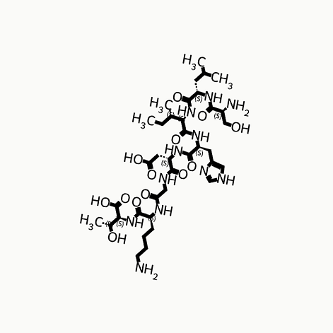 CC[C@H](C)[C@H](NC(=O)[C@H](CC(C)C)NC(=O)[C@@H](N)CO)C(=O)N[C@@H](Cc1c[nH]cn1)C(=O)N[C@@H](CC(=O)O)C(=O)NCC(=O)N[C@@H](CCCCN)C(=O)N[C@H](C(=O)O)[C@@H](C)O